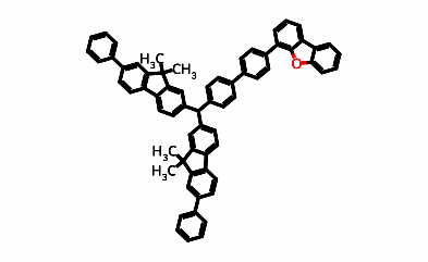 CC1(C)c2cc(-c3ccccc3)ccc2-c2ccc(C(c3ccc(-c4ccc(-c5cccc6c5oc5ccccc56)cc4)cc3)c3ccc4c(c3)C(C)(C)c3cc(-c5ccccc5)ccc3-4)cc21